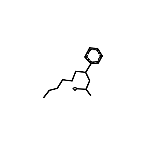 CCCCCCC(CC(C)[O])c1ccccc1